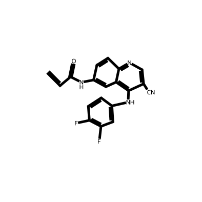 C=CC(=O)Nc1ccc2ncc(C#N)c(Nc3ccc(F)c(F)c3)c2c1